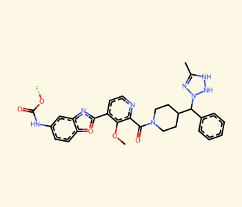 COc1c(-c2nc3cc(NC(=O)OF)ccc3o2)ccnc1C(=O)N1CCC(C(c2ccccc2)N2N=C(C)NN2)CC1